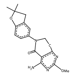 COc1nc(N)c2c(n1)CCN(c1ccc3c(c1)CC(C)(C)O3)C2=O